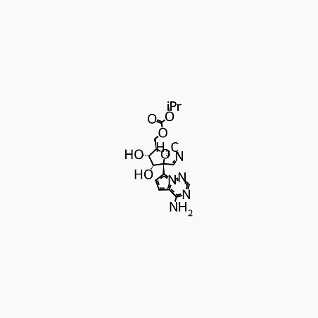 C/N=C\[C@@]1(c2ccc3c(N)ncnn23)O[C@H](COC(=O)OC(C)C)[C@@H](O)[C@H]1O